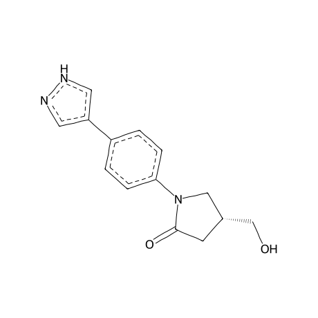 O=C1C[C@@H](CO)CN1c1ccc(-c2cn[nH]c2)cc1